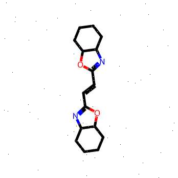 C(=CC1=NC2CCCCC2O1)C1=NC2CCCCC2O1